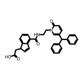 O=C(O)CC1C=Cc2c(C(=O)NCCn3cc(C(c4ccccc4)c4ccccc4)ccc3=O)cccc21